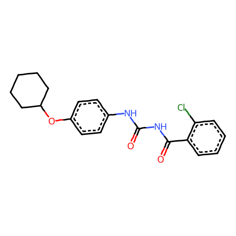 O=C(NC(=O)c1ccccc1Cl)Nc1ccc(OC2CCCCC2)cc1